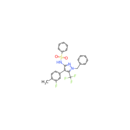 Cc1ccc(-c2c(NS(=O)(=O)c3ccccc3)nn(Cc3ccccc3)c2C(F)(F)F)cc1F